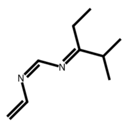 C=C/N=C\N=C(/CC)C(C)C